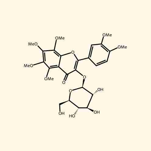 COc1ccc(-c2oc3c(OC)c(OC)c(OC)c(OC)c3c(=O)c2O[C@@H]2O[C@H](CO)[C@@H](O)[C@H](O)[C@H]2O)cc1OC